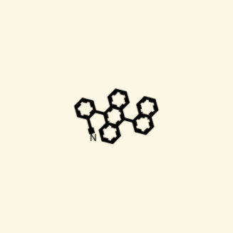 N#Cc1ccccc1-c1c2ccccc2c(-c2cccc3ccccc23)c2ccccc12